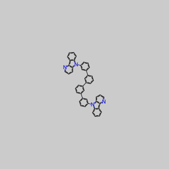 c1cc(-c2cccc(-c3cccc(-n4c5ccccc5c5ncccc54)c3)c2)cc(-c2cccc(-n3c4ccccc4c4ncccc43)c2)c1